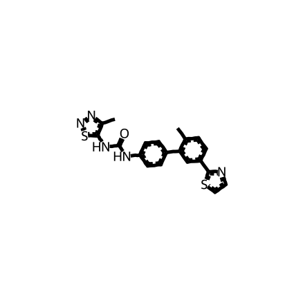 Cc1ccc(-c2nccs2)cc1-c1ccc(NC(=O)Nc2snnc2C)cc1